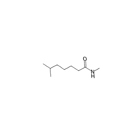 CNC(=O)CCCCC(C)C